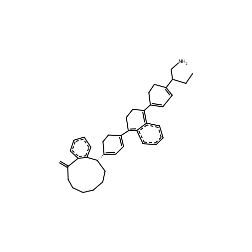 C=C1CCCCCC[C@@H](C2=CC=C(C3=c4ccccc4=C(C4=CC=C(C(CC)CN)CC4)CC3)CC2)c2ccccc21